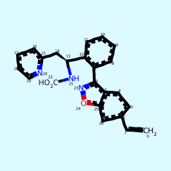 C=Cc1ccc2c(-c3ccccc3[C@H](Cc3ccccn3)NC(=O)O)noc2c1